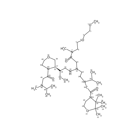 COCCOCCN(C)C(=O)CN(CCN(CC(=O)N1CCOC(C)(C)C1(C)C)C(C)C)NCC(OC)[C@@H]1COCCN1C(=O)CN(C)C(C)C